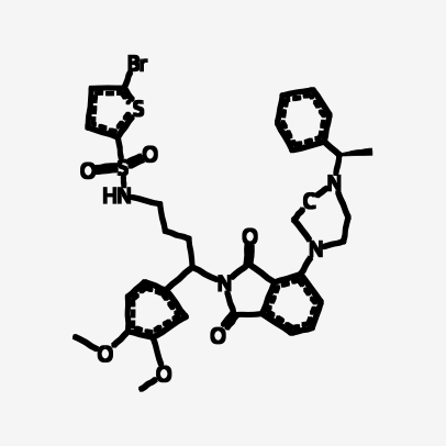 COc1ccc(C(CCCNS(=O)(=O)c2ccc(Br)s2)N2C(=O)c3cccc(N4CCN([C@H](C)c5ccccc5)CC4)c3C2=O)cc1OC